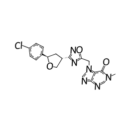 Cn1cnc2ncn(Cc3nc([C@@H]4CO[C@@H](c5ccc(Cl)cc5)C4)no3)c2c1=O